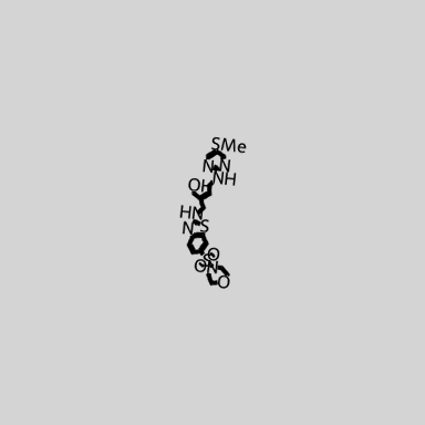 CSc1cnc(NCC=C(CO)CNc2nc3ccc(S(=O)(=O)N4CCOCC4)cc3s2)nc1